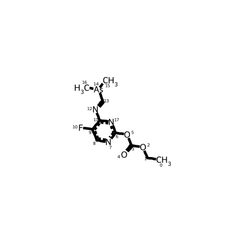 CCOC(=O)Oc1ncc(F)c(N=C[As](C)C)n1